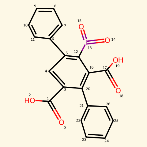 O=C(O)c1cc(-c2ccccc2)c(I(=O)=O)c(C(=O)O)c1-c1ccccc1